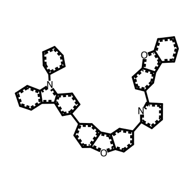 c1ccc(-n2c3ccccc3c3cc(-c4ccc5oc6ccc(-c7cccc(-c8ccc9oc%10ccccc%10c9c8)n7)cc6c5c4)ccc32)cc1